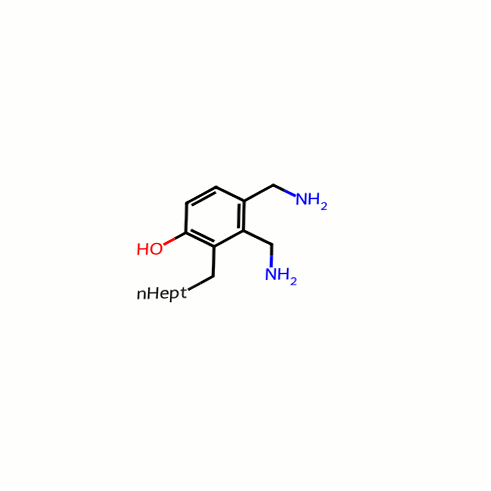 CCCCCCCCc1c(O)ccc(CN)c1CN